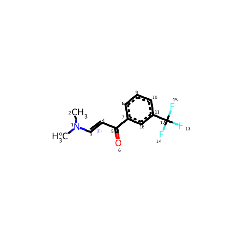 CN(C)/C=C/C(=O)c1cccc(C(F)(F)F)c1